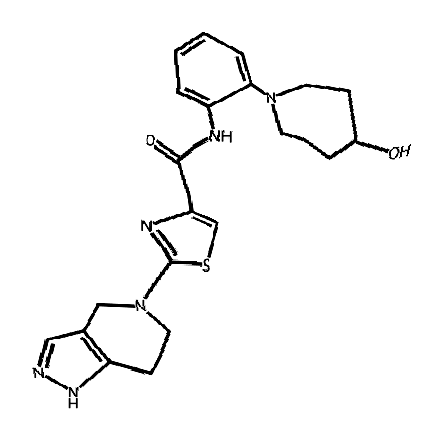 O=C(Nc1ccccc1N1CCC(O)CC1)c1csc(N2CCc3[nH]ncc3C2)n1